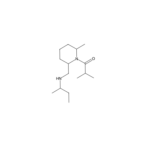 CCC(C)NCC1CCCC(C)N1C(=O)C(C)C